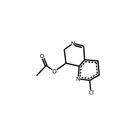 CC(=O)OC1CN=Cc2ccc(Cl)nc21